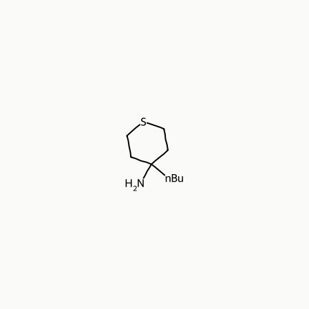 CCCCC1(N)CCSCC1